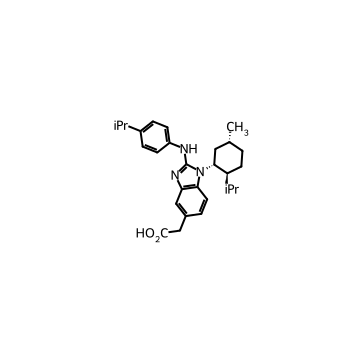 CC(C)c1ccc(Nc2nc3cc(CC(=O)O)ccc3n2[C@@H]2C[C@H](C)CC[C@H]2C(C)C)cc1